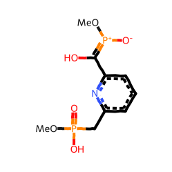 CO/[P+]([O-])=C(\O)c1cccc(CP(=O)(O)OC)n1